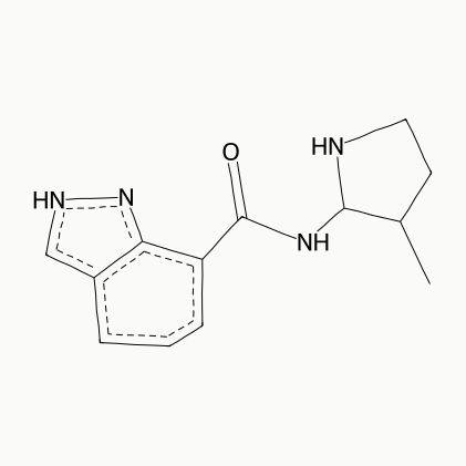 CC1CCNC1NC(=O)c1cccc2c[nH]nc12